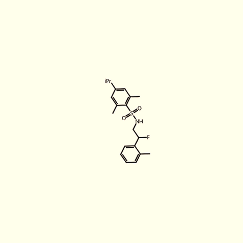 Cc1ccccc1C(F)CNS(=O)(=O)c1c(C)cc(C(C)C)cc1C